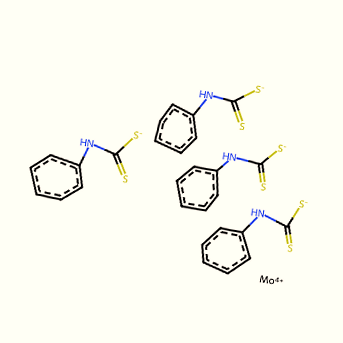 S=C([S-])Nc1ccccc1.S=C([S-])Nc1ccccc1.S=C([S-])Nc1ccccc1.S=C([S-])Nc1ccccc1.[Mo+4]